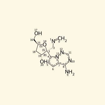 C=NC[C@@]1(c2ccc3c(N)ncnn23)O[C@H](CO)C[C@H]1O